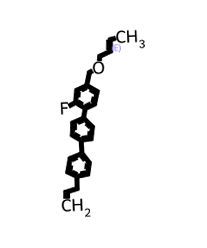 C=CCc1ccc(-c2ccc(-c3ccc(COC/C=C/C)cc3F)cc2)cc1